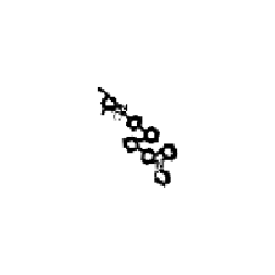 CCc1cc(C)c2oc(-c3ccc(-c4ccccc4-c4ccccc4-c4ccc5c(c4)c4ccccc4n5-c4ccccc4)cc3)nc2c1